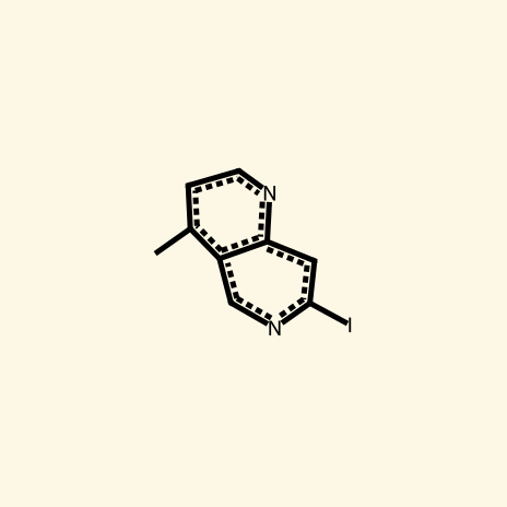 Cc1ccnc2cc(I)ncc12